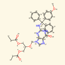 CCC(=O)OCC(COC(=O)CC)OCn1cnc2c(=O)[nH]c(NC(c3ccccc3)(c3ccccc3)c3ccc(OC)cc3)nc21